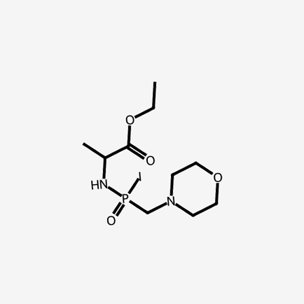 CCOC(=O)C(C)NP(=O)(I)CN1CCOCC1